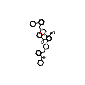 O=[C]c1ccc(N2CCN(Cc3ccccc3NC3CCCCC3)CC2)c(C(=O)c2ccccc2)c1N1CCN(Cc2ccccc2C2CCCCC2)CC1